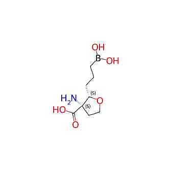 N[C@@]1(C(=O)O)CCO[C@H]1CCCB(O)O